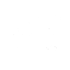 c1ccc(-c2c3ccccc3c(-c3ccc4c(c3)C(c3ccccc3)(c3ccccc3)c3ccccc3-4)c3cc(-c4ncccn4)ccc23)cc1